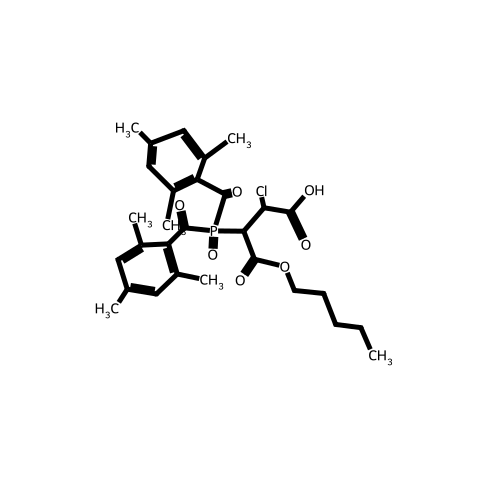 CCCCCOC(=O)C(C(Cl)C(=O)O)P(=O)(C(=O)c1c(C)cc(C)cc1C)C(=O)c1c(C)cc(C)cc1C